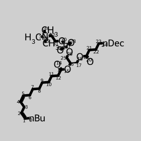 CCCC/C=C\C/C=C\CCCCCCCC(=O)O[C@H](COC(=O)CCCCCCCCCCCCC)COP(=O)([O-])OCC[N+](C)(C)C